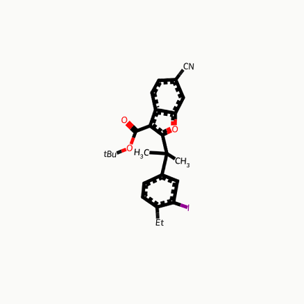 CCc1ccc(C(C)(C)c2oc3cc(C#N)ccc3c2C(=O)OC(C)(C)C)cc1I